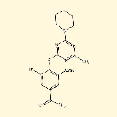 C=C(C)c1cc(Br)c(Oc2nc(C)nc(N3CCCCC3)n2)c(OC)c1